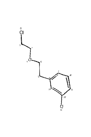 ClCCOCCc1cccc(Cl)c1